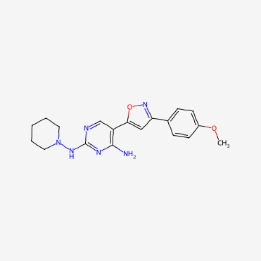 COc1ccc(-c2cc(-c3cnc(NN4CCCCC4)nc3N)on2)cc1